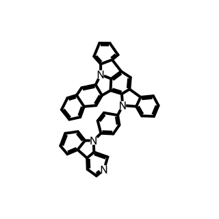 c1ccc2cc3c(cc2c1)c1c2c(cc4c5ccccc5n3c41)c1ccccc1n2-c1ccc(-n2c3ccccc3c3ccncc32)cc1